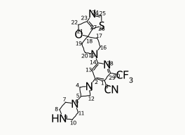 N#Cc1c(N2CC(N3CCNCC3)C2)cc(N2CCC3(CC2)OCc2ncsc23)nc1C(F)(F)F